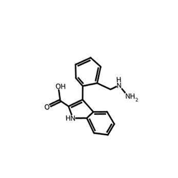 NNCc1ccccc1-c1c(C(=O)O)[nH]c2ccccc12